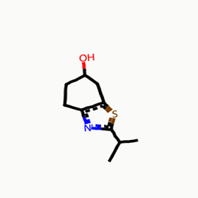 CC(C)c1nc2c(s1)CC(O)CC2